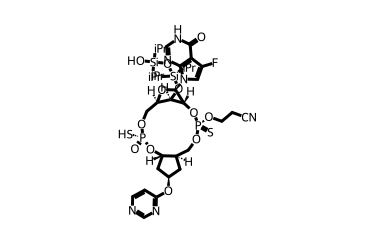 CC(C)[Si](O)(O[Si](O[C@H]1[C@H]2O[P@](=S)(OCCC#N)OC[C@H]3C[C@@H](Oc4ccncn4)C[C@@H]3O[P@](=O)(S)OC[C@H]1O[C@H]2n1cc(F)c2c(=O)[nH]cnc21)(C(C)C)C(C)C)C(C)C